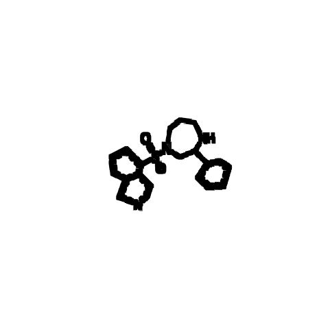 O=S(=O)(c1cccc2cnccc12)N1CCCNC(c2ccccc2)C1